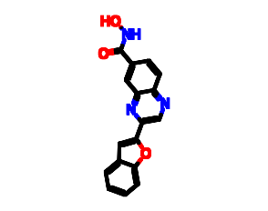 O=C(NO)c1ccc2ncc(-c3cc4ccccc4o3)nc2c1